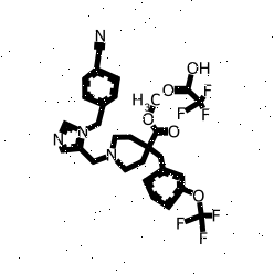 COC(=O)C1(Cc2cccc(OC(F)(F)F)c2)CCN(Cc2cncn2Cc2ccc(C#N)cc2)CC1.O=C(O)C(F)(F)F